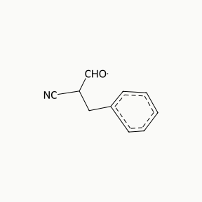 N#CC([C]=O)Cc1ccccc1